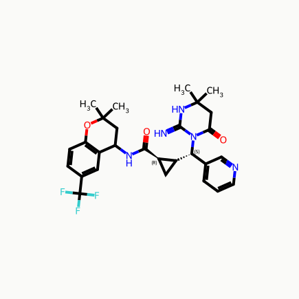 CC1(C)CC(=O)N([C@H](c2cccnc2)C2C[C@H]2C(=O)NC2CC(C)(C)Oc3ccc(C(F)(F)F)cc32)C(=N)N1